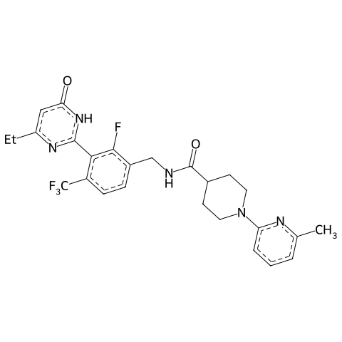 CCc1cc(=O)[nH]c(-c2c(C(F)(F)F)ccc(CNC(=O)C3CCN(c4cccc(C)n4)CC3)c2F)n1